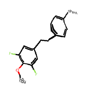 CCCCCc1ccc(CCc2cc(F)c(OCCCC)c(F)c2)cc1